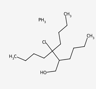 CCCCC(CO)C(Cl)(CCCC)CCCC.P